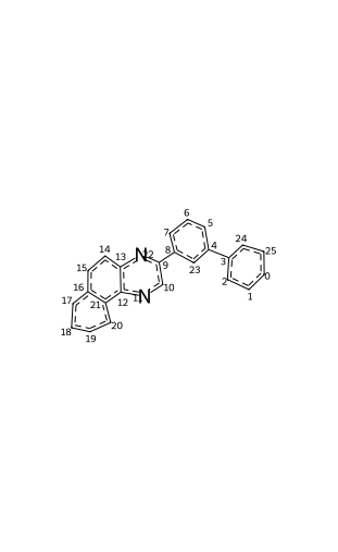 c1ccc(-c2cccc(-c3cnc4c(ccc5ccccc54)n3)c2)cc1